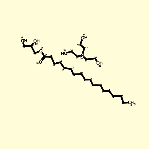 CCCCCCCCCCCCCCCCCC(=O)OCC(O)CO.OCCN(CCO)CCO